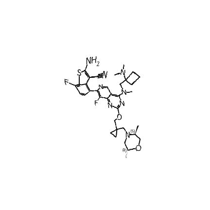 C[C@@H]1CN(CC2(COc3nc(N(C)CC4(N(C)C)CCC4)c4cnc(-c5ccc(F)c6sc(N)c(C#N)c56)c(F)c4n3)CC2)[C@@H](C)CO1